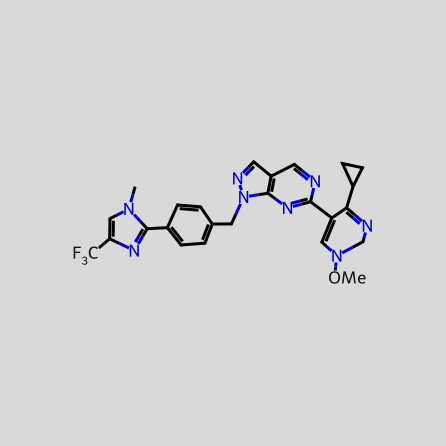 CON1C=C(c2ncc3cnn(Cc4ccc(-c5nc(C(F)(F)F)cn5C)cc4)c3n2)C(C2CC2)=NC1